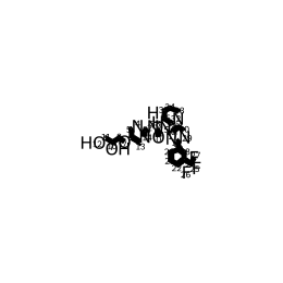 O=C(Nc1ncc(OC[C@H](O)CO)cn1)N1c2nc(-c3cccc(C(F)(F)F)c3)ncc2N2CCC[C@H]1C2